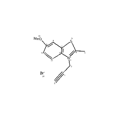 C#CC[n+]1c(C)sc2cc(OC)ccc21.[Br-]